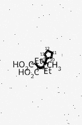 CCC(=C(CC(=O)O)C(=O)O)C(C)(CC)C1CCCC1